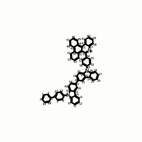 c1ccc(-c2ccc(-n3c4ccccc4c4cc(-c5ccc6c(c5)c5ccccc5n6-c5ccc(-c6nc7ccccc7c7c8ccccc8c8ccccc8c67)cc5)ccc43)cc2)cc1